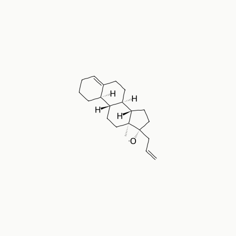 C=CC[C@]1([O])CC[C@H]2[C@@H]3CCC4=CCCC[C@@H]4[C@H]3CC[C@@]21C